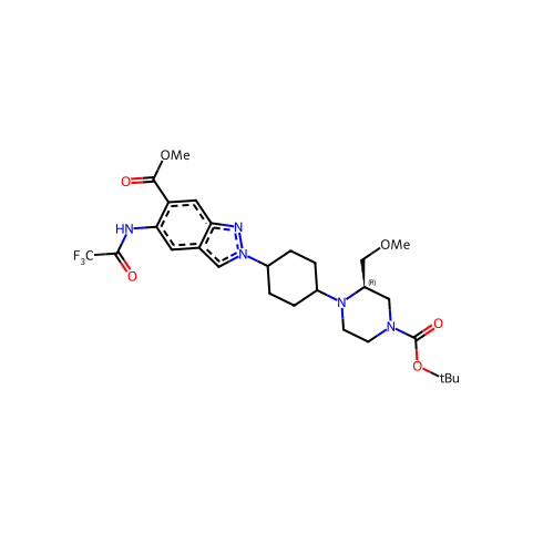 COC[C@H]1CN(C(=O)OC(C)(C)C)CCN1C1CCC(n2cc3cc(NC(=O)C(F)(F)F)c(C(=O)OC)cc3n2)CC1